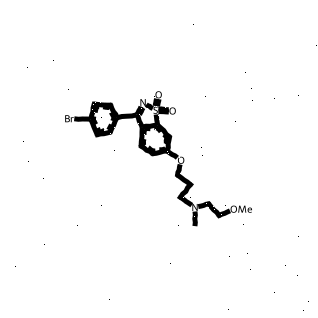 COCCN(C)CCCOc1ccc2c(c1)S(=O)(=O)N=C2c1ccc(Br)cc1